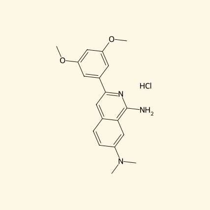 COc1cc(OC)cc(-c2cc3ccc(N(C)C)cc3c(N)n2)c1.Cl